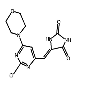 O=C1NC(=O)/C(=C/c2cc(N3CCOCC3)nc(Cl)n2)N1